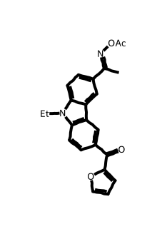 CCn1c2ccc(C(=O)c3ccco3)cc2c2cc(/C(C)=N/OC(C)=O)ccc21